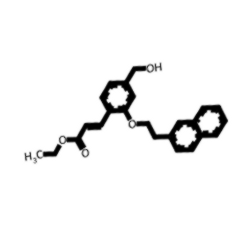 CCOC(=O)/C=C/c1ccc(CO)cc1OCCc1ccc2ccccc2c1